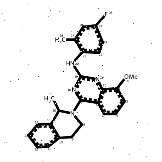 COc1cccc2c(N3CCc4ccccc4C3C)nc(Nc3ccc(F)cc3C)nc12